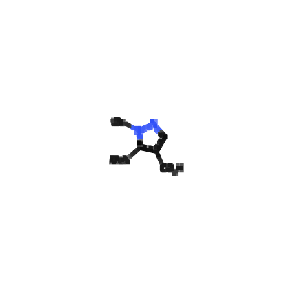 CNc1c(C(=O)O)cnn1C(C)(C)C